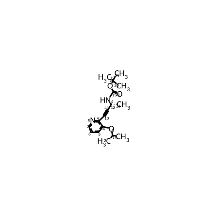 CC(C)Oc1cccnc1C#C[C@@H](C)NC(=O)OC(C)(C)C